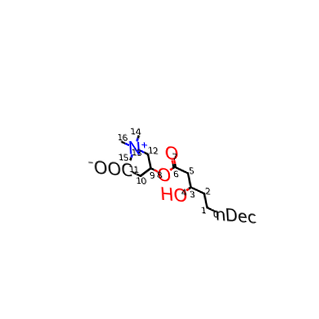 CCCCCCCCCCCCC(O)CC(=O)OC(CC(=O)[O-])C[N+](C)(C)C